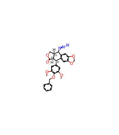 COc1cc([C@@H]2c3cc4c(cc3C(N=[N+]=[N-])[C@H]3COC(=O)[C@H]23)OCO4)cc(OC)c1OCc1ccccc1